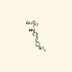 COC(=O)CCNc1ccc(SSc2ccc(N)cc2)cc1